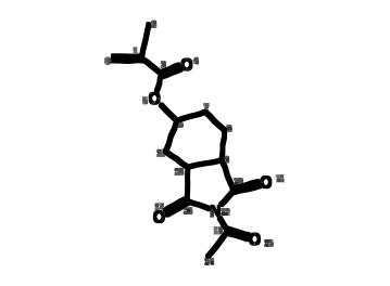 C=C(C)C(=O)OC1CCC2C(=O)N(C(C)=O)C(=O)C2C1